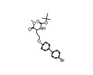 COC(=O)C(CCOc1ccc(-c2ccc(Br)cc2)cc1)NC(=O)OC(C)(C)C